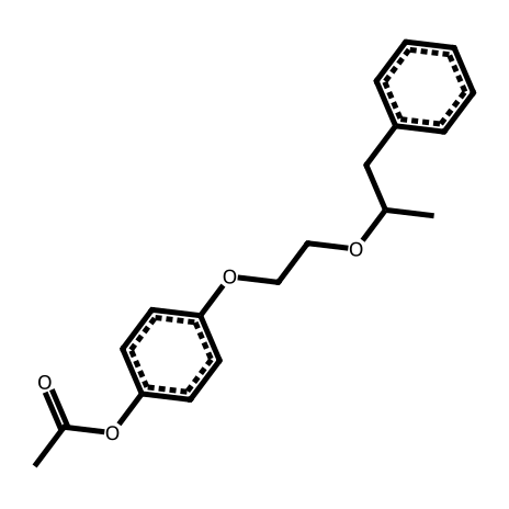 CC(=O)Oc1ccc(OCCOC(C)Cc2ccccc2)cc1